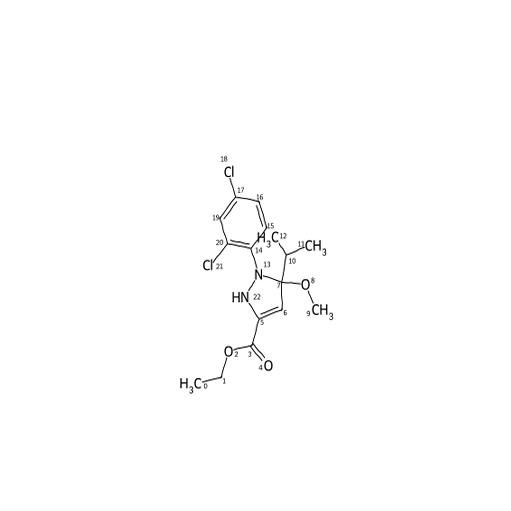 CCOC(=O)C1=CC(OC)(C(C)C)N(c2ccc(Cl)cc2Cl)N1